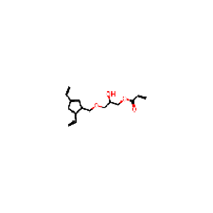 C=CC(=O)OCC(O)COCC1CC(C=C)CC1C=C